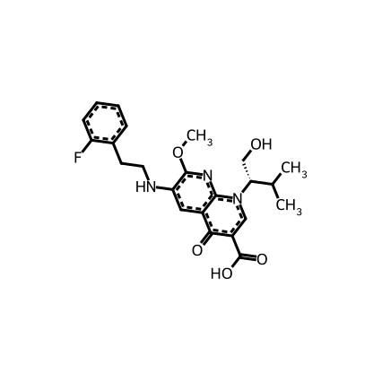 COc1nc2c(cc1NCCc1ccccc1F)c(=O)c(C(=O)O)cn2[C@H](CO)C(C)C